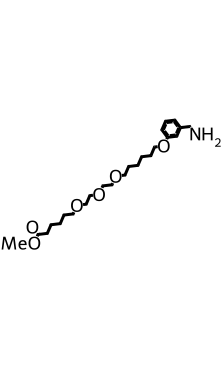 COC(=O)CCCCCOCCOCCOCCCCCCOc1cccc(CN)c1